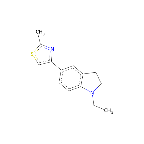 CCN1CCc2cc(-c3csc(C)n3)ccc21